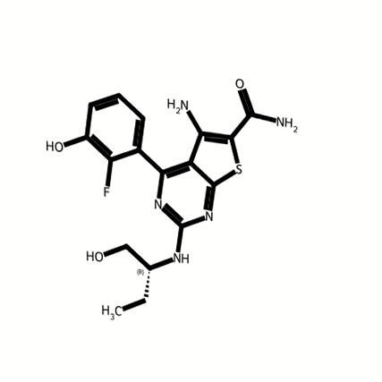 CC[C@H](CO)Nc1nc(-c2cccc(O)c2F)c2c(N)c(C(N)=O)sc2n1